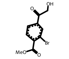 COC(=O)c1ccc(C(=O)CO)cc1Br